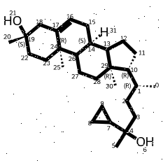 C[C@H](CCC(C)(O)C1CC1)[C@H]1CCC2[C@@H]3CC=C4C[C@@](C)(O)CC[C@]4(C)C3CC[C@@]21C